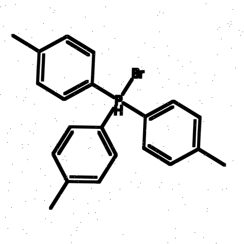 Cc1ccc([PH](Br)(c2ccc(C)cc2)c2ccc(C)cc2)cc1